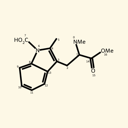 CNC(Cc1c(C)n(C(=O)O)c2ccccc12)C(=O)OC